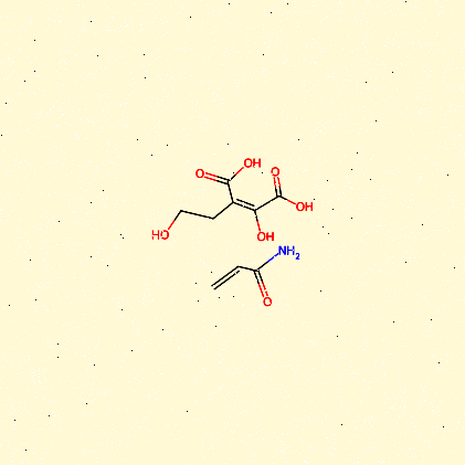 C=CC(N)=O.O=C(O)C(O)=C(CCO)C(=O)O